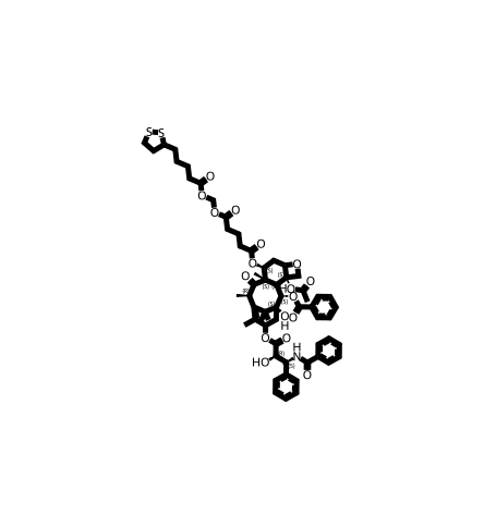 CC(=O)O[C@@]12COC1C[C@H](OC(=O)CCCC(=O)OCOC(=O)CCCCC1CCSS1)[C@@]1(C)C(=O)[C@H](C)C3=C(C)C(OC(=O)[C@H](O)[C@@H](NC(=O)c4ccccc4)c4ccccc4)C[C@@](O)([C@@H](OC(=O)c4ccccc4)[C@@H]12)C3(C)C